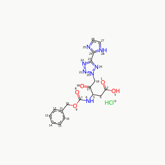 Cl.O=C(O)CC(NC(=O)OCc1ccccc1)C(=O)Cn1nnc(-c2ncc[nH]2)n1